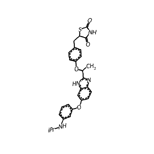 CC(C)Nc1cccc(Oc2ccc3nc(C(C)Oc4ccc(CC5SC(=O)NC5=O)cc4)[nH]c3c2)c1